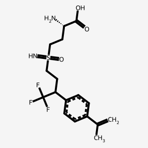 C=C(C)c1ccc(C(CCS(=N)(=O)CC[C@H](N)C(=O)O)C(F)(F)F)cc1